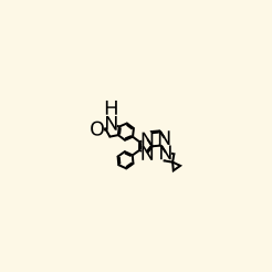 O=C1Cc2cc(-c3c(-c4ccccc4)nc4c(N5CC6(CC6)C5)nccn34)ccc2N1